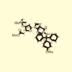 COC(=O)C[C@H]1O[C@@H](n2cnc3c(=O)n(NC(c4ccccc4)(c4ccccc4)c4ccc(OC)cc4)cnc32)C[C@@H]1O[Si](C)(C)C(C)(C)C